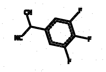 N#CC(C#N)c1cc(F)c(F)c(F)c1